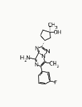 Cc1c(-c2cccc(F)c2)nc(N)c2nc([C@@H]3CC[C@@](C)(O)C3)nn12